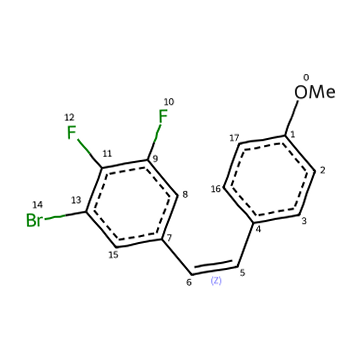 COc1ccc(/C=C\c2cc(F)c(F)c(Br)c2)cc1